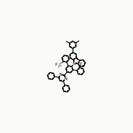 Cc1cc(C)cc(-c2ccc3c(c2)c2ccccc2n3-c2c(-c3ccccc3C(F)(F)F)cc(-c3nc(-c4ccccc4)cc(-c4ccccc4)n3)cc2-c2ccccc2C(F)(F)F)c1